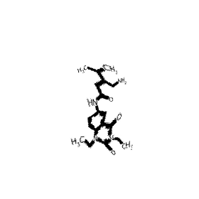 CCn1c(=O)c2cc(NC(=O)CC(CN)C(C)C)ccc2n(CC)c1=O